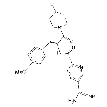 COc1ccc(C[C@H](NC(=O)c2ccc(C(=N)N)cn2)C(=O)N2CCC([O])CC2)cc1